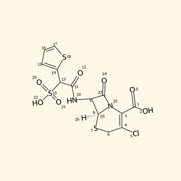 O=C(O)C1=C(Cl)CS[C@H]2C(NC(=O)C(c3cccs3)S(=O)(=O)O)C(=O)N12